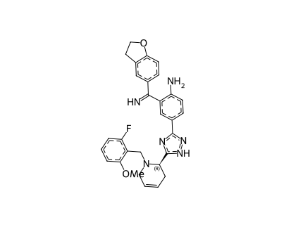 COc1cccc(F)c1CN1CC=CC[C@@H]1c1nc(-c2ccc(N)c(C(=N)c3ccc4c(c3)CCO4)c2)n[nH]1